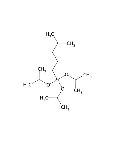 CC(C)CCC[Si](OC(C)C)(OC(C)C)OC(C)C